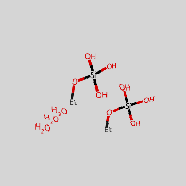 CCO[Si](O)(O)O.CCO[Si](O)(O)O.O.O.O